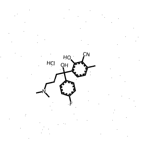 Cc1ccc(C(O)(CCCN(C)C)c2ccc(F)cc2)c(O)c1C#N.Cl